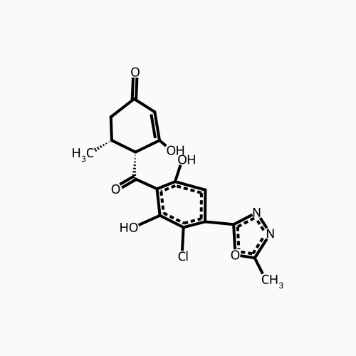 Cc1nnc(-c2cc(O)c(C(=O)[C@H]3C(O)=CC(=O)C[C@H]3C)c(O)c2Cl)o1